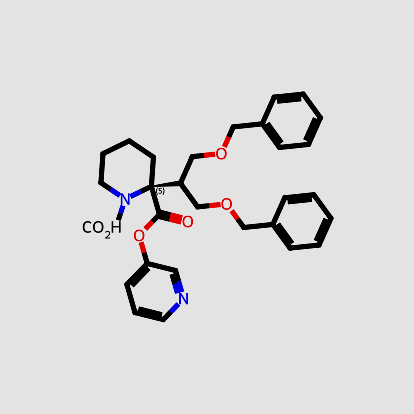 O=C(O)N1CCCC[C@@]1(C(=O)Oc1cccnc1)C(COCc1ccccc1)COCc1ccccc1